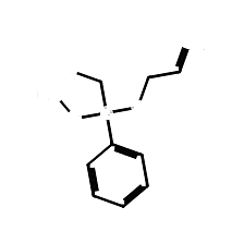 C=CCO[Si](CC)(OC)c1ccccc1